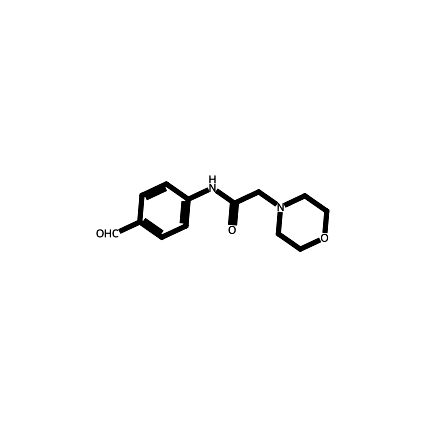 O=Cc1ccc(NC(=O)CN2CCOCC2)cc1